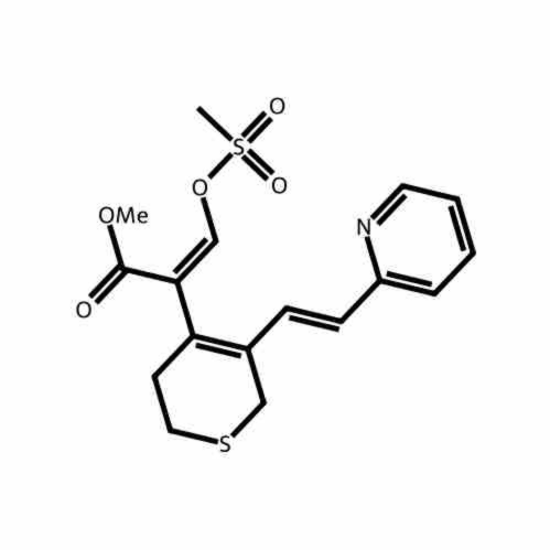 COC(=O)C(=COS(C)(=O)=O)C1=C(C=Cc2ccccn2)CSCC1